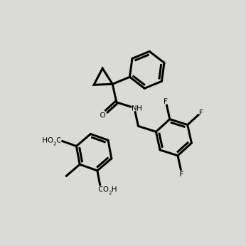 Cc1c(C(=O)O)cccc1C(=O)O.O=C(NCc1cc(F)cc(F)c1F)C1(c2ccccc2)CC1